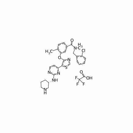 Cc1ccc(C(=O)N(C)Cc2ccccc2Cl)cc1Oc1ncsc1-c1ccnc(N[C@H]2CCCNC2)n1.O=C(O)C(F)(F)F